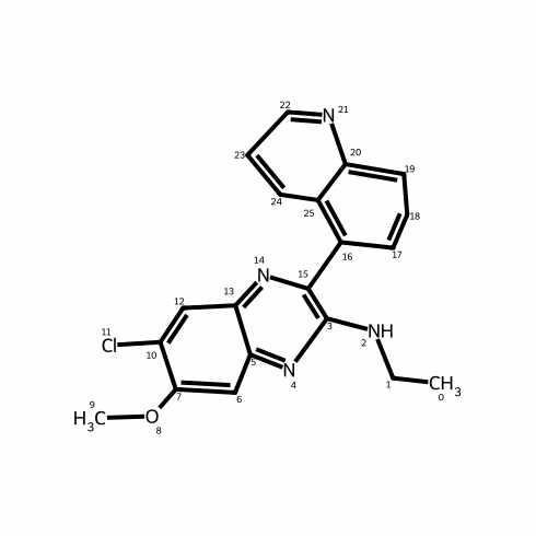 CCNc1nc2cc(OC)c(Cl)cc2nc1-c1cccc2ncccc12